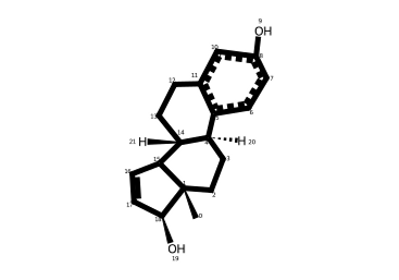 C[C@]12CC[C@@H]3c4ccc(O)cc4CC[C@H]3C1C=C[C@@H]2O